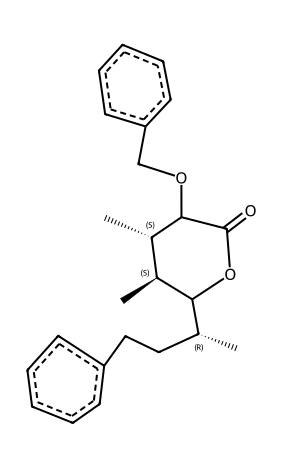 C[C@H](CCc1ccccc1)C1OC(=O)C(OCc2ccccc2)[C@@H](C)[C@@H]1C